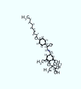 CCCCCSCCOc1ccc(C(=O)/C=C/c2cc(C)c(OC(C)(C)C(=O)O)c(C)c2)cc1